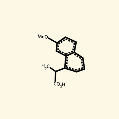 COc1ccc2cccc(C(C)C(=O)O)c2c1